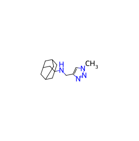 Cn1cc(CNC23CC4CC(CC(C4)C2)C3)nn1